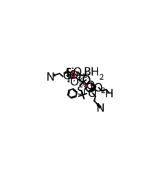 [2H]CCOP(OCCC#N)OC[C@]1(C[Si](c2ccccc2)(c2ccccc2)C(C)(C)C)O[C@@H](B)C(O[Si](C)(C)C(C)(C)C)[C@H]1OP(=C)(OC)OCCC#N